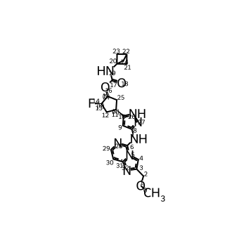 COCc1cn2c(Nc3cc([C@H]4C[C@@H](F)[C@@H](OC(=O)NC56CC(C5)C6)C4)[nH]n3)nccc2n1